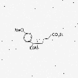 CCOC(=O)CCCCC(C)(C)C(OC)c1ccc(OC)cc1